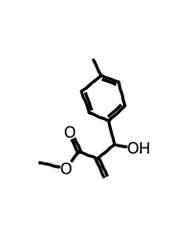 C=C(C(=O)OC)C(O)c1ccc(C)cc1